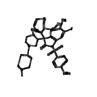 CCOc1ncccc1C1(C2CN(C3CCN(C)CC3)CCN2C(=O)O)C(=O)N(S(=O)(=O)c2ccc(OC)cc2)c2cc(F)c(C#N)cc21